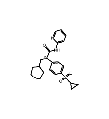 O=C(Nc1ccccn1)[C@H](CC1CCOCC1)c1ccc(S(=O)(=O)C2CC2)cc1